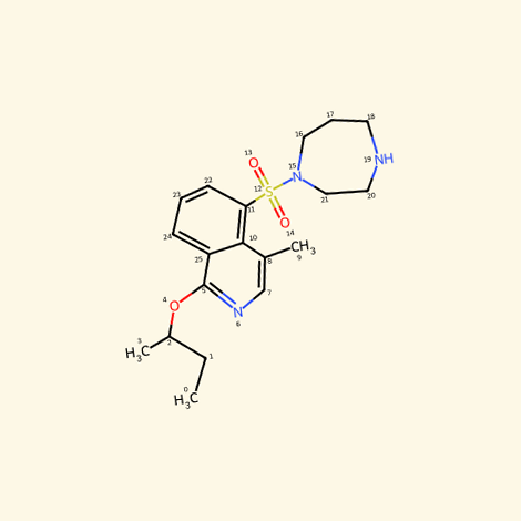 CCC(C)Oc1ncc(C)c2c(S(=O)(=O)N3CCCNCC3)cccc12